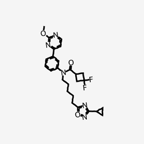 COc1nccc(-c2cccc(N(CCCCCc3nc(C4CC4)no3)C(=O)C3CC(F)(F)C3)c2)n1